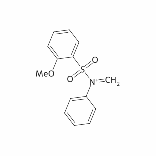 C=[N+](c1ccccc1)S(=O)(=O)c1ccccc1OC